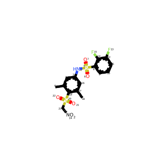 Cc1cc(NS(=O)(=O)c2cccc(F)c2F)cc(C)c1S(=O)(=O)C[N+](=O)[O-]